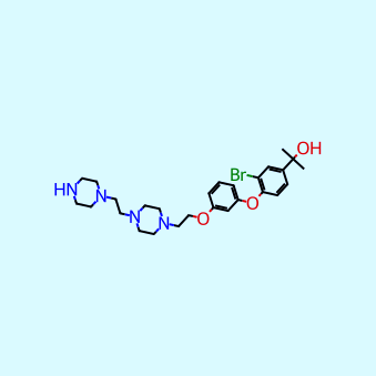 CC(C)(O)c1ccc(Oc2cccc(OCCN3CCN(CCN4CCNCC4)CC3)c2)c(Br)c1